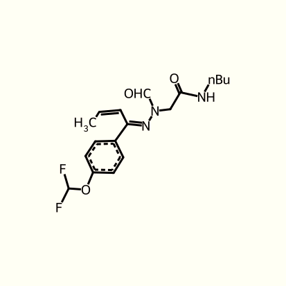 C/C=C\C(=N/N(C=O)CC(=O)NCCCC)c1ccc(OC(F)F)cc1